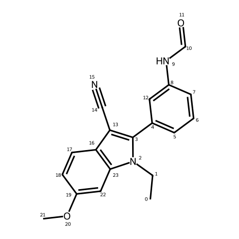 CCn1c(-c2cccc(NC=O)c2)c(C#N)c2ccc(OC)cc21